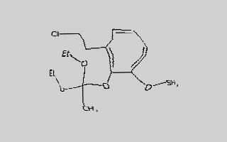 CCOC(C)(OCC)Oc1c(CCCl)cccc1O[SiH3]